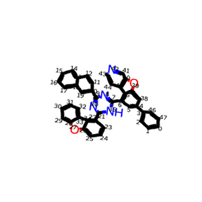 c1ccc(-c2cc(C3=NC(c4ccc5ccccc5c4)=NC(c4cccc5oc6ccccc6c45)N3)c3c(c2)oc2cnccc23)cc1